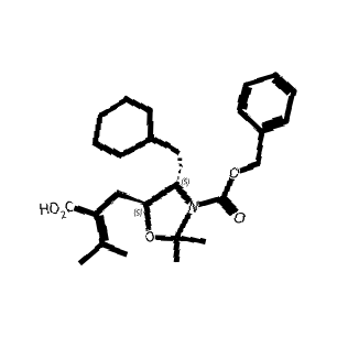 CC(C)=C(C[C@@H]1OC(C)(C)N(C(=O)OCc2ccccc2)[C@H]1CC1CCCCC1)C(=O)O